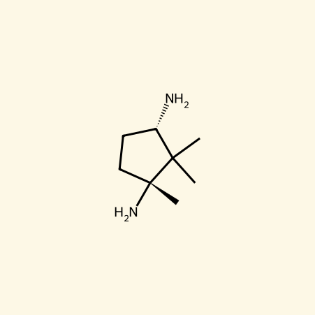 CC1(C)[C@@H](N)CC[C@@]1(C)N